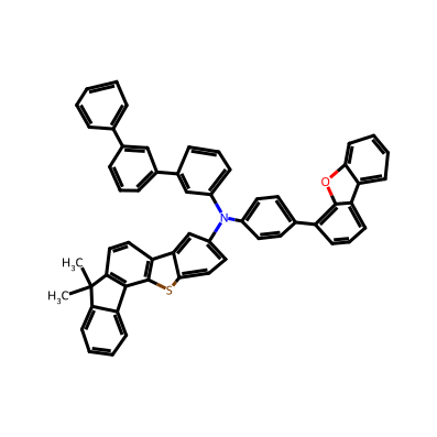 CC1(C)c2ccccc2-c2c1ccc1c2sc2ccc(N(c3ccc(-c4cccc5c4oc4ccccc45)cc3)c3cccc(-c4cccc(-c5ccccc5)c4)c3)cc21